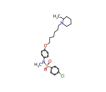 CC1CCCCN1CCCCCCOc1ccc(N(C)S(=O)(=O)c2ccc(Cl)cc2)cc1